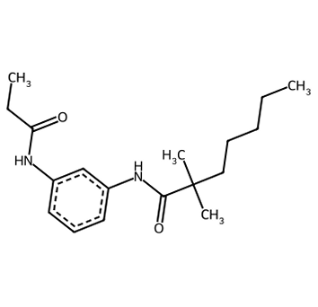 CCCCCC(C)(C)C(=O)Nc1cccc(NC(=O)CC)c1